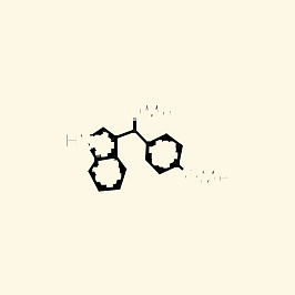 COc1ccc(C(OC)c2c[nH]c3ccccc23)cc1